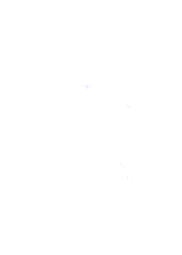 CCN(CC)C(=O)C1C=C(c2ccc(Cl)c3cc[nH]c23)C(CO)N(C)C1